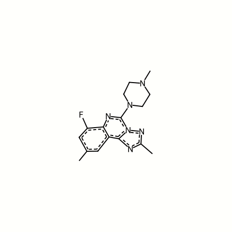 Cc1cc(F)c2nc(N3CCN(C)CC3)n3nc(C)nc3c2c1